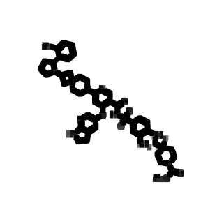 COC(=O)N1CCC(F)(CNc2ccc(S(=O)(=O)NC(=O)c3cnc(N4CCC5(CC4)CC(N4CCC[C@H]4c4ccccc4C(C)C)C5)cc3Oc3cnc4[nH]ccc4c3)cc2N)CC1